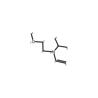 C=CN(CCOC)C(C)C